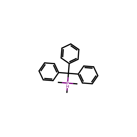 C[PH](C)(C)C(c1ccccc1)(c1ccccc1)c1ccccc1